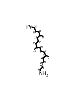 CC(=CCSCCN)CCCC(C)CCCC(C)CCCC(C)C